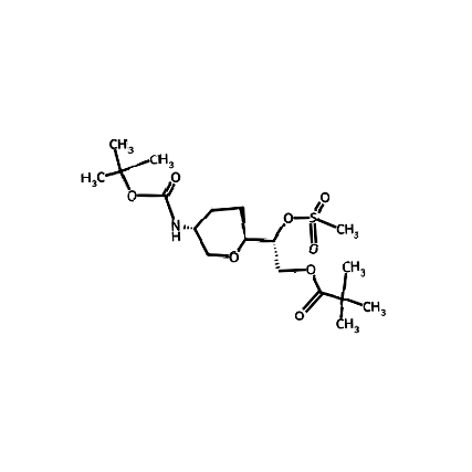 CC(C)(C)OC(=O)N[C@@H]1CC[C@@H]([C@@H](COC(=O)C(C)(C)C)OS(C)(=O)=O)OC1